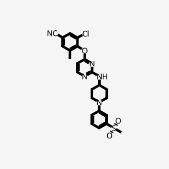 Cc1cc(C#N)cc(Cl)c1Oc1ccnc(NC2CCN(c3cccc(S(C)(=O)=O)c3)CC2)n1